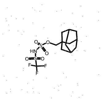 O=S(=O)(NS(=O)(=O)C(F)(F)F)OCC12CC3CC(CC(C3)C1)C2